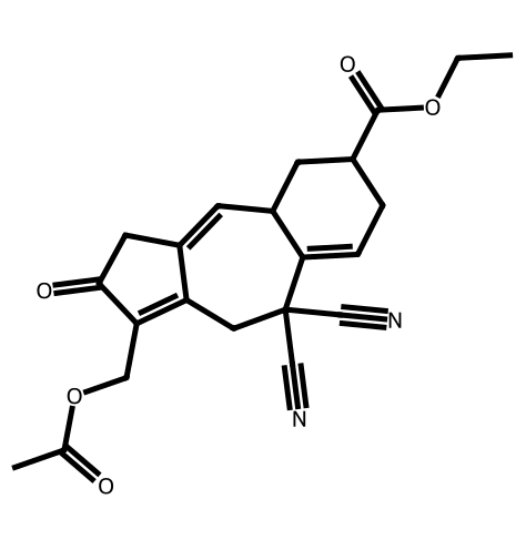 CCOC(=O)C1CC=C2C(C=C3CC(=O)C(COC(C)=O)=C3CC2(C#N)C#N)C1